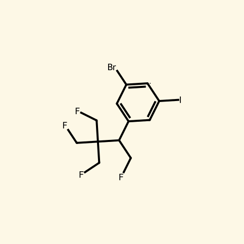 FCC(c1cc(Br)[c]c(I)c1)C(CF)(CF)CF